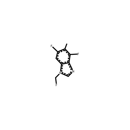 Cc1c(F)cc2c(ncn2CF)c1F